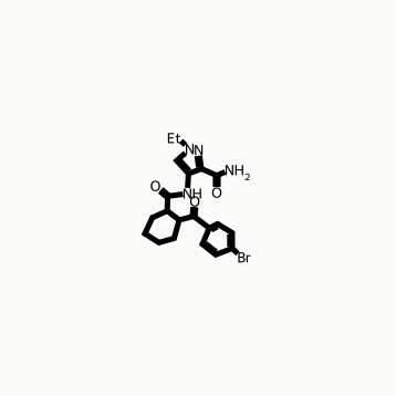 CCn1cc(NC(=O)C2CCCCC2C(=O)c2ccc(Br)cc2)c(C(N)=O)n1